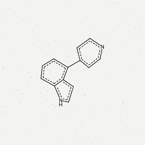 c1cc(-c2ccncc2)c2cc[nH]c2c1